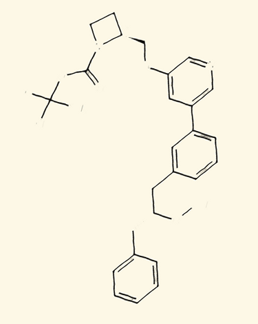 CO[C@H](Cc1ccccc1)Cc1cccc(-c2cncc(OC[C@@H]3CCN3C(=O)OC(C)(C)C)c2)c1